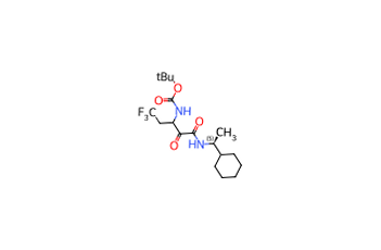 C[C@H](NC(=O)C(=O)C(CC(F)(F)F)NC(=O)OC(C)(C)C)C1CCCCC1